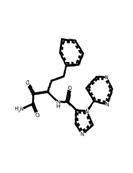 NC(=O)C(=O)C(CCc1ccccc1)NC(=O)c1cncn1-c1ccncn1